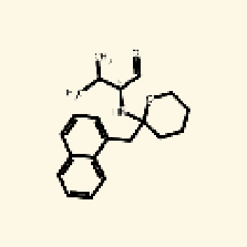 CC(C)[C@@H]([C]=O)NC1(Cc2cccc3ccccc23)CCCCO1